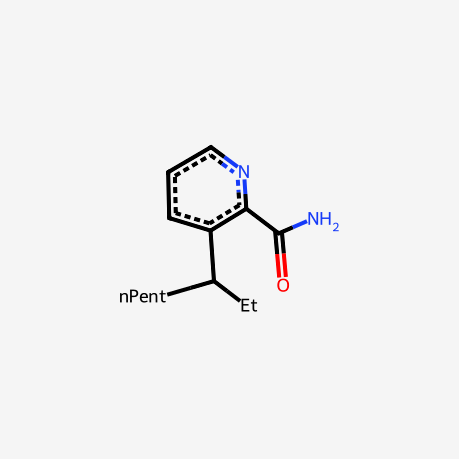 CCCCCC(CC)c1cccnc1C(N)=O